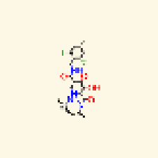 CC[C@@H]1C=C[C@H](C)N2CN1n1cc(C(=O)NCc3c(F)cc(C)cc3F)c(=O)c(O)c1C2=O